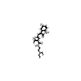 CCN(CC)CCNC(=O)c1cc(C=C2C(=O)Nc3ccc(F)cc32)[se]c1C